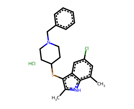 Cc1[nH]c2c(C)cc(Cl)cc2c1SC1CCN(Cc2ccccc2)CC1.Cl